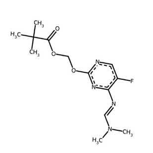 CN(C)C=Nc1nc(OCOC(=O)C(C)(C)C)ncc1F